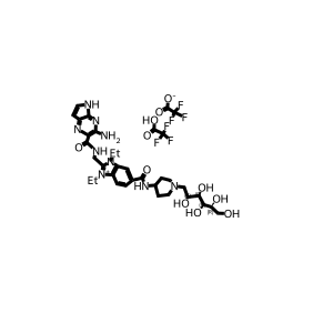 CCn1c(CNC(=O)c2nc3cc[nH]c3nc2N)[n+](CC)c2ccc(C(=O)NC3CCN(C[C@H](O)[C@@H](O)[C@H](O)[C@H](O)CO)CC3)cc21.O=C(O)C(F)(F)F.O=C([O-])C(F)(F)F